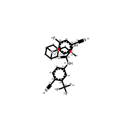 C[C@](O)(CN1CC2CC(C1)N2c1ccc(C#N)cc1F)C(=O)Nc1ccc(C#N)c(C(F)(F)F)c1